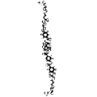 C=C=COOCCCC(=O)OOCOOc1ccc(C(=O)O[C@@H]2CO[C@H]3[C@@H]2OC[C@@H]3OC(=O)c2ccc(OC(=O)c3ccc(OC(=O)OCCCOO/C=C\C)cc3)cc2)cc1